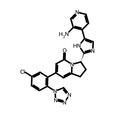 Nc1cnccc1-c1cnc([C@@H]2CCc3cc(-c4cc(Cl)ccc4-n4cnnn4)cc(=O)n32)[nH]1